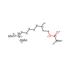 C=C(C)C(=O)OCCC(C)CCCCC[SiH](OC)OC